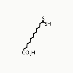 O=C(O)CCCCCCCCCCCC(=S)S